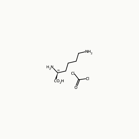 NCCCC[C@H](N)C(=O)O.O=C(Cl)Cl